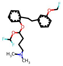 CN(C)CCCC(Oc1ccccc1CCc1cccc(OCF)c1)OC(F)F